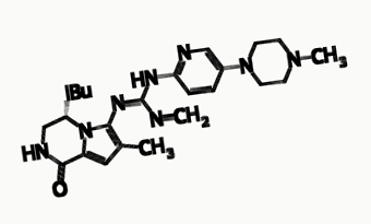 C=N/C(=N\c1c(C)cc2n1[C@@H](C(C)CC)CNC2=O)Nc1ccc(N2CCN(C)CC2)cn1